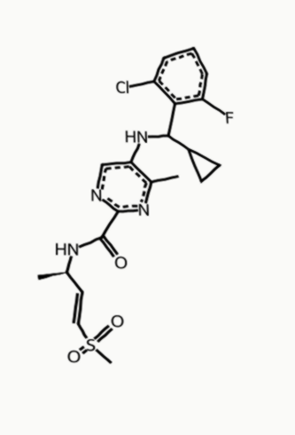 Cc1nc(C(=O)N[C@H](C)/C=C/S(C)(=O)=O)ncc1NC(c1c(F)cccc1Cl)C1CC1